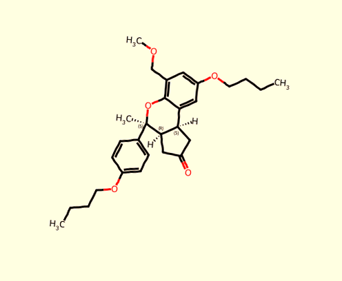 CCCCOc1ccc([C@@]2(C)Oc3c(COC)cc(OCCCC)cc3[C@H]3CC(=O)C[C@H]32)cc1